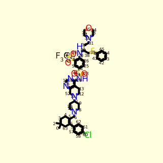 CC1(C)CCC(CN2CCC(N3CCc4c(ncnc4NS(=O)(=O)c4ccc(N[C@H](CCN5CCOCC5)CSc5ccccc5)c(S(=O)(=O)C(F)(F)F)c4)C3)CC2)=C(c2ccc(Cl)cc2)C1